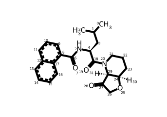 CC(C)C[C@H](NC(=O)c1cccc2ccccc12)C(=O)N1CCC[C@H]2OCC(=O)[C@H]21